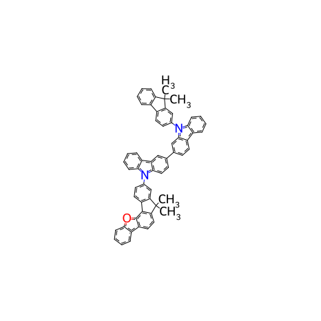 CC1(C)c2ccccc2-c2ccc(-n3c4ccccc4c4ccc(-c5ccc6c(c5)c5ccccc5n6-c5ccc6c(c5)C(C)(C)c5ccc7c(oc8ccccc87)c5-6)cc43)cc21